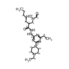 CCCCCC(CN(O)C=O)C(=O)NNc1nc(CC)nc(N2CCN(CC)CC2)n1